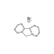 [Br-].[Li+].c1ccc2c(c1)Cc1ccccc1-2